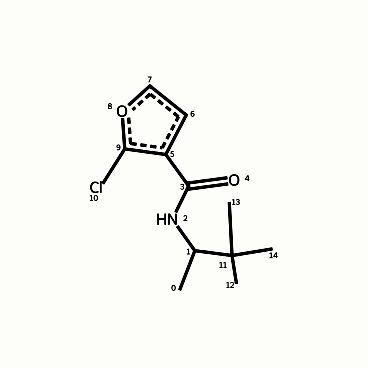 CC(NC(=O)c1ccoc1Cl)C(C)(C)C